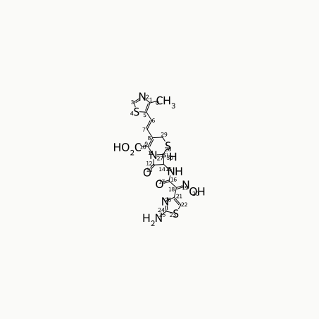 Cc1ncsc1C=CC1=C(C(=O)O)N2C(=O)C(NC(=O)C(=NO)c3csc(N)n3)[C@@H]2SC1